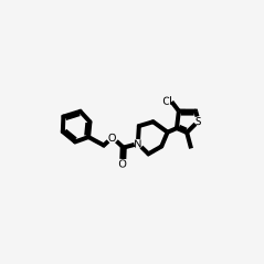 Cc1scc(Cl)c1C1CCN(C(=O)OCc2ccccc2)CC1